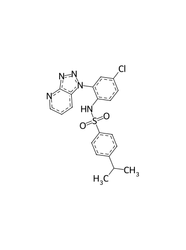 CC(C)c1ccc(S(=O)(=O)Nc2ccc(Cl)cc2-n2nnc3ncccc32)cc1